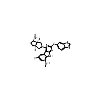 CNc1cc(F)cc2c1[nH]c1nc(Oc3ccc4ncsc4c3)nc(N3C[C@H]4CC[C@@H](N)[C@H]4C3)c12